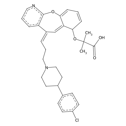 CC(C)(OC1C=CC=C2Oc3ncccc3C(=CCCN3CCC(c4ccc(Cl)cc4)CC3)C=C21)C(=O)O